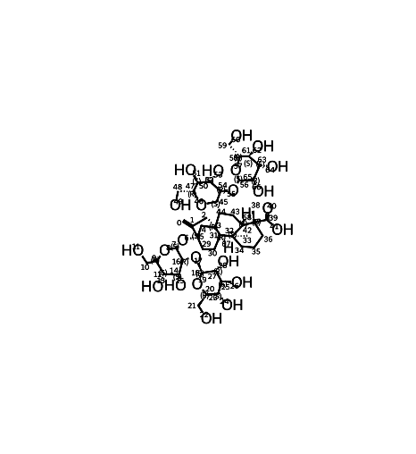 C=C1C[C@@]23C[C@@]1(O[C@@H]1O[C@H](CO)[C@@H](O)[C@H](O)[C@H]1O[C@@H]1O[C@H](CO)[C@@H](O)[C@H](O)[C@H]1O)CC[C@@H]2[C@]1(C)CCC[C@@](C)(C(=O)O)[C@H]1CC3[C@@H]1O[C@H](CO)[C@@H](O)[C@H](O)[C@H]1O[C@@H]1O[C@H](CO)[C@@H](O)[C@H](O)[C@H]1O